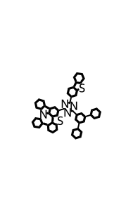 c1ccc(-c2cc(-c3ccccc3)cc(-c3nc(-c4ccc5c(c4)sc4ccccc45)nc(-c4cc5c6ccccc6n6c7ccccc7c7cccc8sc4c(c87)c56)n3)c2)cc1